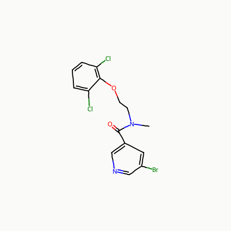 CN(CCOc1c(Cl)cccc1Cl)C(=O)c1cncc(Br)c1